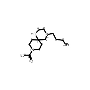 CCC(=O)N1CCC2(CC1)CN(CCCC(C)C)CCO2